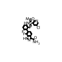 COc1ncc(Cl)cc1S(=O)(=O)Nc1ccc(F)c(-c2ccc3c(C(N)=O)n[nH]c3c2F)c1F